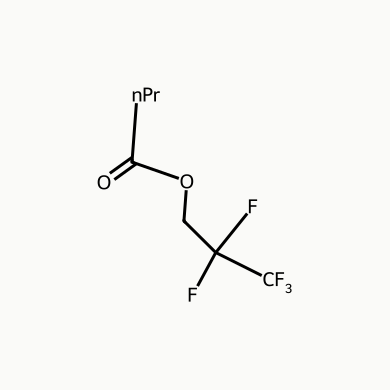 CCCC(=O)OCC(F)(F)C(F)(F)F